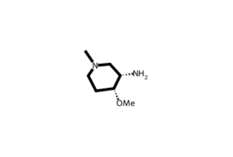 CO[C@@H]1CCN(C)C[C@@H]1N